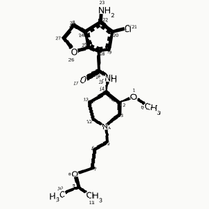 CO[C@H]1CN(CCCOC(C)C)CC[C@H]1NC(=O)c1cc(Cl)c(N)c2c1OCC2